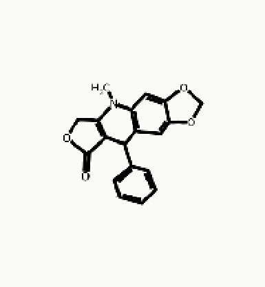 CN1C2=C(C(=O)OC2)C(c2c[c]ccc2)c2cc3c(cc21)OCO3